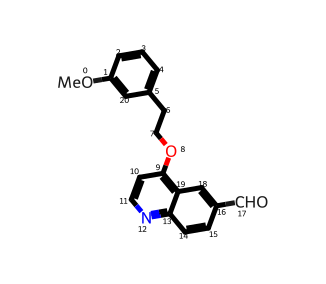 COc1cccc(CCOc2ccnc3ccc(C=O)cc23)c1